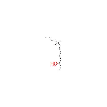 CCCCC(C)(C)CCCCCC(O)CC